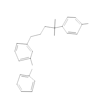 CC(C)(CCCc1cccc(Oc2ccccc2)c1)c1ccc(C(F)(F)F)cc1